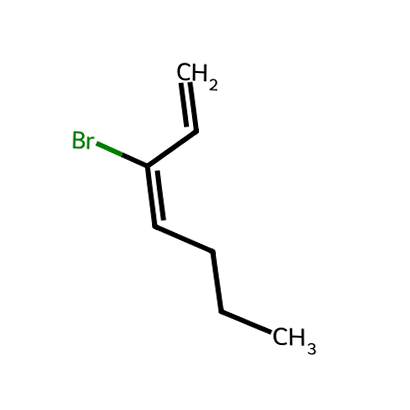 C=C/C(Br)=C\CCC